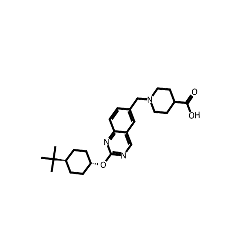 CC(C)(C)[C@H]1CC[C@H](Oc2ncc3cc(CN4CCC(C(=O)O)CC4)ccc3n2)CC1